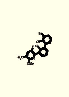 [CH2]c1cc(F)c(-c2cccc(-c3cccc(Br)c3Cl)c2Cl)nc1OC